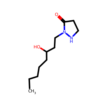 CCCCCC(O)CCN1NCCC1=O